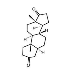 C[C@]12CCC(=O)C[C@@H]1CC[C@@H]1[C@@H]2CC[C@]2(C)C(=O)CC[C@@]12F